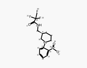 O=C(NC[C@H]1CCCN(c2ccccc2[N+](=O)[O-])C1)C(F)(F)F